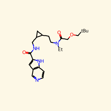 CCN(CCC1CC1CNC(=O)c1cc2cnccc2[nH]1)C(=O)COCC(C)(C)C